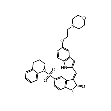 O=C1Nc2ccc(S(=O)(=O)N3CCCc4ccccc43)cc2/C1=C\c1cc2cc(OCCN3CCOCC3)ccc2[nH]1